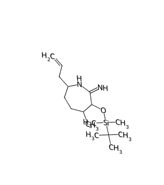 C=CCC1CCC(C)C(O[Si](C)(C)C(C)(C)C)C(=N)N1